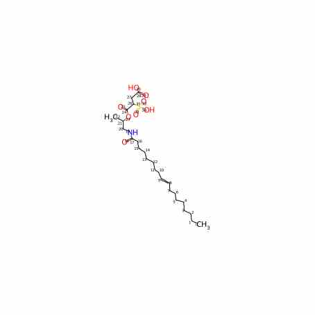 CCCCCCCCC=CCCCCCCCC(=O)NCC(C)OC(=O)C(CC(=O)O)S(=O)(=O)O